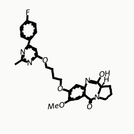 COc1cc2c(cc1OCCCCOc1cc(-c3ccc(F)cc3)nc(C)n1)N=C(O)[C@@H]1CCCN1C2=O